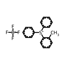 Cc1ccccc1[S+](c1ccccc1)c1ccccc1.F[B-](F)(F)F